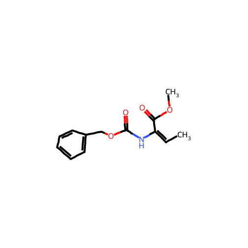 C/C=C(/NC(=O)OCc1ccccc1)C(=O)OC